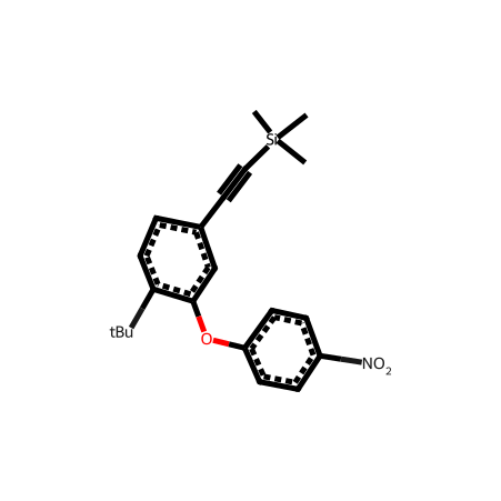 CC(C)(C)c1ccc(C#C[Si](C)(C)C)cc1Oc1ccc([N+](=O)[O-])cc1